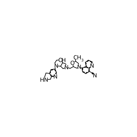 CC1CN(c2ccc(C#N)c3ncccc23)CC(CN2CC3[C@@H](C2)OCCN3c2cnc3c(c2)CCNC3)O1